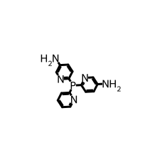 Nc1ccc(P(c2ccccn2)c2ccc(N)cn2)nc1